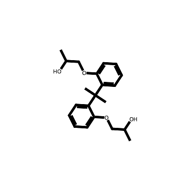 CC(O)COc1ccccc1C(C)(C)c1ccccc1OCC(C)O